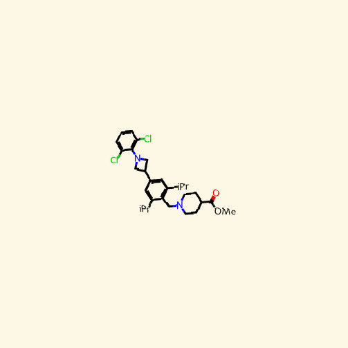 COC(=O)C1CCN(Cc2c(C(C)C)cc(C3CN(c4c(Cl)cccc4Cl)C3)cc2C(C)C)CC1